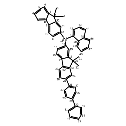 CC1(C)c2ccccc2-c2ccc(N(c3ccc4c(c3)C(C)(C)c3cc(-c5ccc(-c6ccccc6)cc5)ccc3-4)c3cccc4ccccc34)cc21